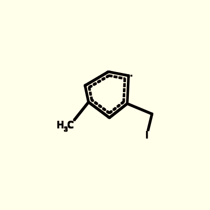 Cc1cc[c]c(CI)c1